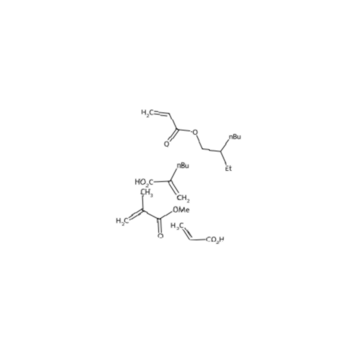 C=C(C)C(=O)OC.C=C(CCCC)C(=O)O.C=CC(=O)O.C=CC(=O)OCC(CC)CCCC